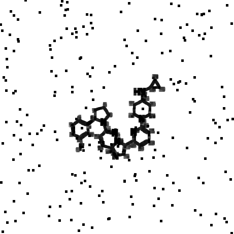 Fc1cccc([C@H]2CCCN2c2ccc3ncc(-c4cccc(N5CCC(NC6CC6)CC5)n4)n3n2)c1